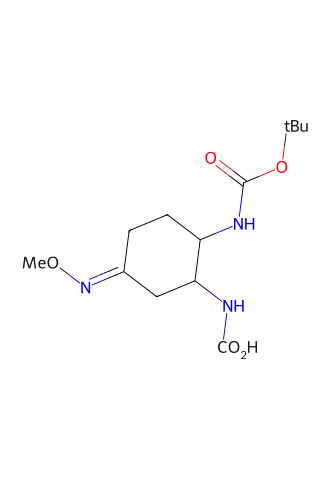 CO/N=C1\CCC(NC(=O)OC(C)(C)C)C(NC(=O)O)C1